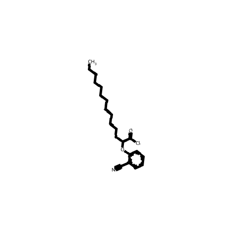 CCCCCCCCCCCCC(Oc1ccccc1C#N)C(=O)Cl